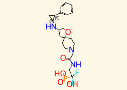 O=C(CN1CCC2(CC1)CC(N[C@@H]1C[C@H]1c1ccccc1)CO2)NCC(F)(F)P(=O)(O)O